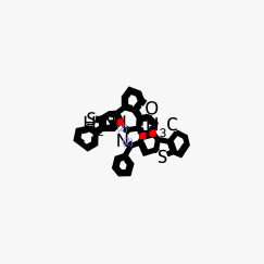 CC1CC=CC2=C1C1C=CC(/C(=N\C(=N/N)c3cccc4oc5cccc(-c6ccc7c(c6)sc6ccccc67)c5c34)c3ccccc3)=CC1S2